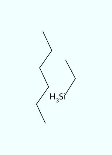 CCCCCC.CC[SiH3]